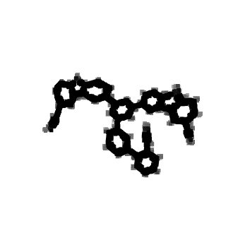 N#Cc1ccc2oc3ccc(-c4cc(-c5cccc(-c6ccccc6C#N)c5)cc(-c5ccc6oc7ccc(C#N)cc7c6c5)c4)cc3c2c1